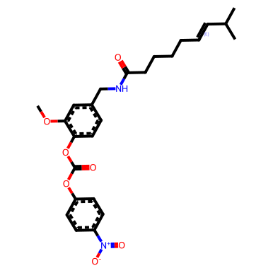 COc1cc(CNC(=O)CCCC/C=C/C(C)C)ccc1OC(=O)Oc1ccc([N+](=O)[O-])cc1